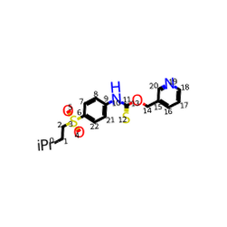 CC(C)CCS(=O)(=O)c1ccc(NC(=S)OCc2cccnc2)cc1